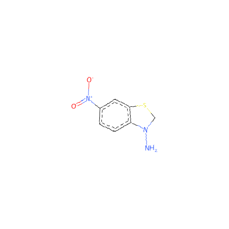 NN1CSc2cc([N+](=O)[O-])ccc21